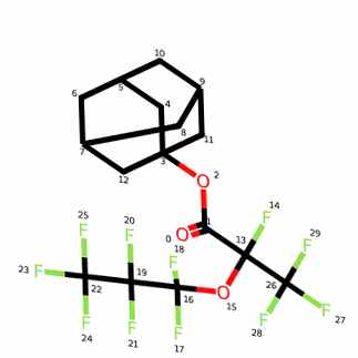 O=C(OC12CC3CC(CC(C3)C1)C2)C(F)(OC(F)(F)C(F)(F)C(F)(F)F)C(F)(F)F